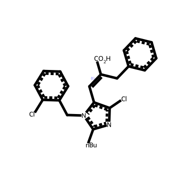 CCCCc1nc(Cl)c(/C=C(\Cc2ccccc2)C(=O)O)n1Cc1ccccc1Cl